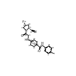 Cc1ccc(NC(=O)C23CCC(NCC(=O)N4C[C@@H](F)C[C@H]4C#N)(CC2)CC3)cc1